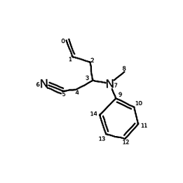 C=CCC(CC#N)N(C)c1ccccc1